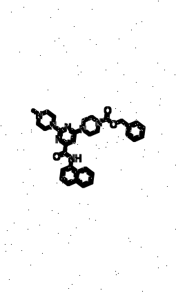 CN1CCN(c2nc(C(=O)Nc3cccc4ccccc34)cc(N3CCN(C(=O)OCc4ccccc4)CC3)n2)CC1